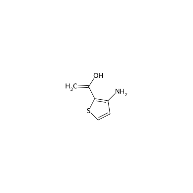 C=C(O)c1sccc1N